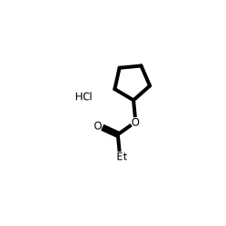 CCC(=O)OC1CCCC1.Cl